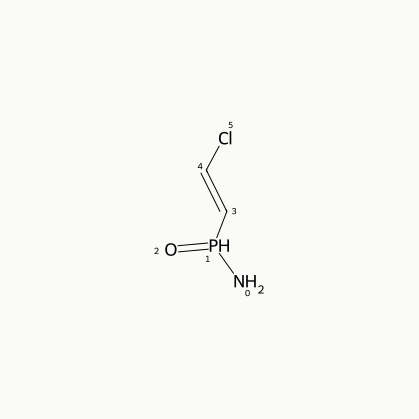 N[PH](=O)C=CCl